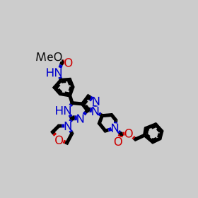 COC(=O)Nc1ccc(C2NC(N3CCOCC3)=Nc3c2cnn3C2CCN(C(=O)OCc3ccccc3)CC2)cc1